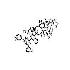 C=C1/C=C2\C(=C/Cc3ccc([Si](C)(C)C)cc3C1(C)C)C(C)(C)c1cc(-c3nc(-c4cccnc4)nc(-c4cccnc4)n3)c3ccccc3c12